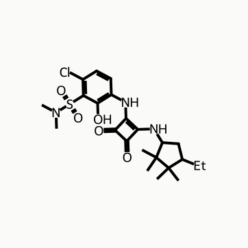 CCC1CC(Nc2c(Nc3ccc(Cl)c(S(=O)(=O)N(C)C)c3O)c(=O)c2=O)C(C)(C)C1(C)C